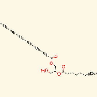 CC#CC#CC#CC#CC#CC#CC(=O)OC[C@H](CO)OC(=O)CCCCCCCCCCCCCCC